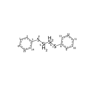 c1ccc(S[SiH2][SiH2]Sc2ccccc2)cc1